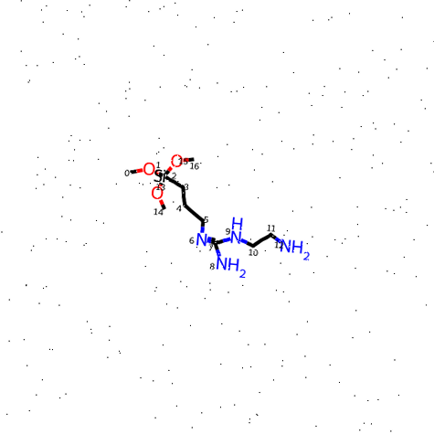 CO[Si](CCCN=C(N)NCCN)(OC)OC